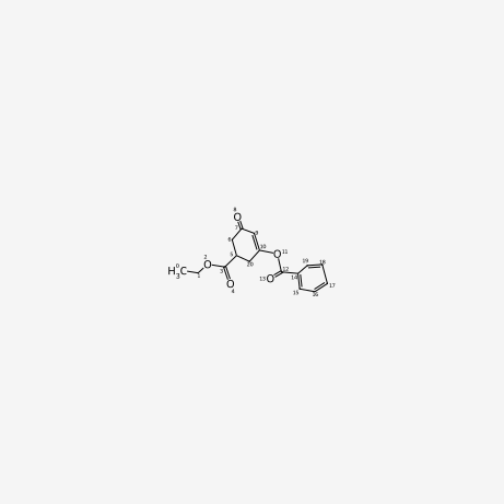 CCOC(=O)C1CC(=O)C=C(OC(=O)c2ccccc2)C1